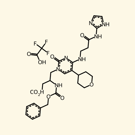 O=C(O)C(F)(F)F.O=C(O)CC(Cn1cc(C2CCOCC2)c(NCCC(=O)Nc2ncc[nH]2)nc1=O)NC(=O)OCc1ccccc1